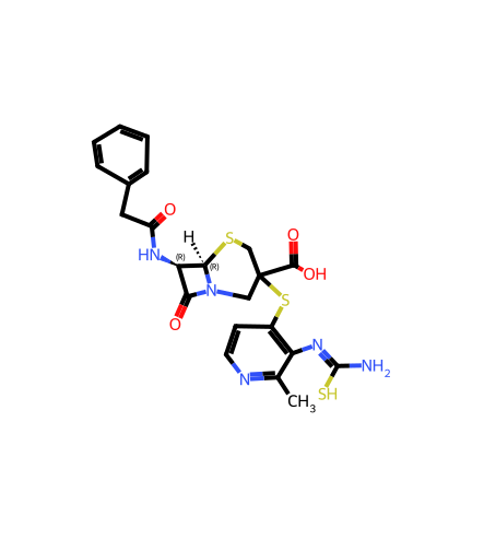 Cc1nccc(SC2(C(=O)O)CS[C@@H]3[C@H](NC(=O)Cc4ccccc4)C(=O)N3C2)c1N=C(N)S